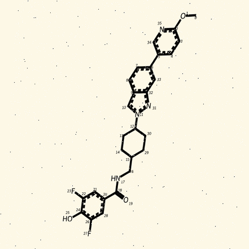 COc1ccc(-c2ccc3cn(C4CCC(CNC(=O)c5cc(F)c(O)c(F)c5)CC4)nc3c2)cn1